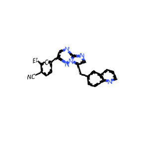 CCc1cc(-c2cnc3ncc(Cc4ccc5ncccc5c4)n3n2)ccc1C#N